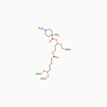 CCCCCCCCCCCCC(CCOC(=O)CCCCC(OCCCCCCCC)OCCCCCCCC)OC(=O)C1(C)CCN(C)CC1